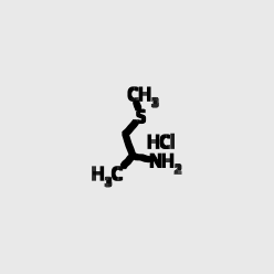 CSCC(C)N.Cl